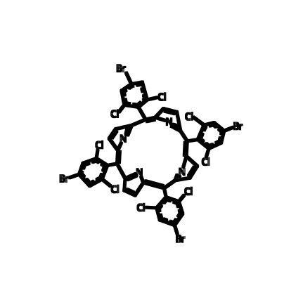 Clc1cc(Br)cc(Cl)c1C1=C2C=CC(=N2)C(c2c(Cl)cc(Br)cc2Cl)=C2C=CC(=N2)C(c2c(Cl)cc(Br)cc2Cl)=C2C=CC(=N2)C(c2c(Cl)cc(Br)cc2Cl)=C2C=CC1=N2